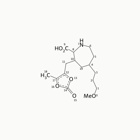 COCCCC1CCNC(C(=O)O)C(Cc2oc(=O)oc2C)C1